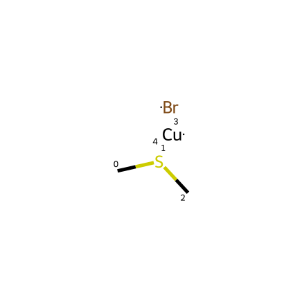 CSC.[Br].[Cu]